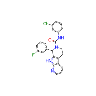 O=C(Nc1cccc(Cl)c1)N1CCc2c([nH]c3ncccc23)C1c1cccc(F)c1